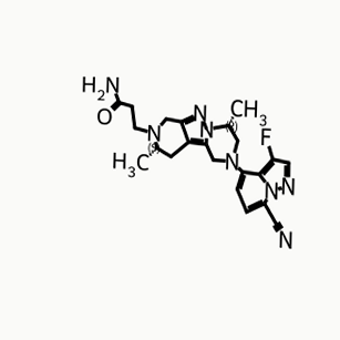 C[C@@H]1CN(c2ccc(C#N)n3ncc(F)c23)Cc2c3c(nn21)CN(CCC(N)=O)[C@@H](C)C3